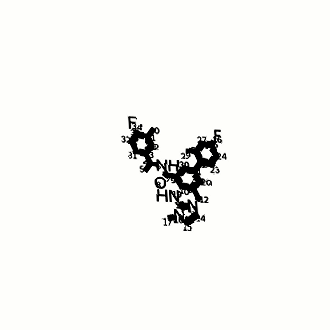 Cc1cc(C(C)NC(=O)c2cc(Cn3ccn(C)c3=N)cc(-c3ccc(F)cc3C)c2)ccc1F